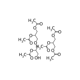 CC(=O)OCC(COC(C)=O)OC(C)=O.CC(=O)OCC(COCC(CO)OC(C)=O)OC(C)=O